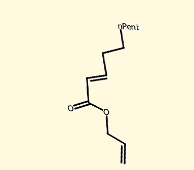 C=CCOC(=O)C=CCCCCCCC